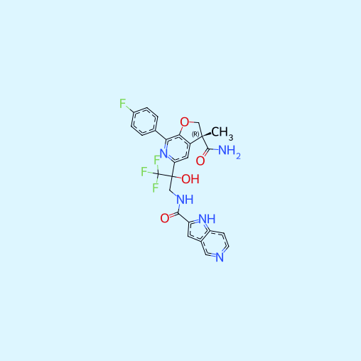 C[C@]1(C(N)=O)COc2c1cc(C(O)(CNC(=O)c1cc3cnccc3[nH]1)C(F)(F)F)nc2-c1ccc(F)cc1